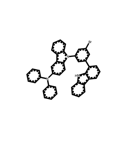 Brc1cc(-c2cccc3c2[nH]c2ccccc23)cc(-n2c3ccccc3c3cc(N(c4ccccc4)c4ccccc4)ccc32)c1